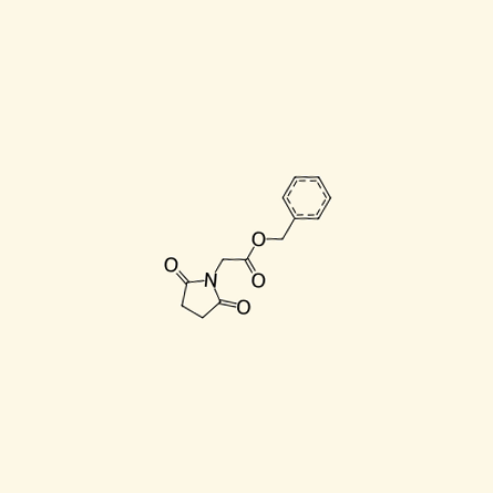 O=C(CN1C(=O)CCC1=O)OCc1ccccc1